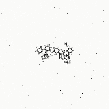 N#Cc1cccc(-n2nc(C(F)(F)F)cc2C(=O)Nc2cccc(C(CNCC3CC3)c3ccccc3OCc3ccccc3)c2)c1